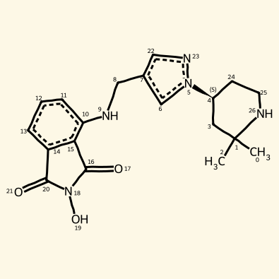 CC1(C)C[C@@H](n2cc(CNc3cccc4c3C(=O)N(O)C4=O)cn2)CCN1